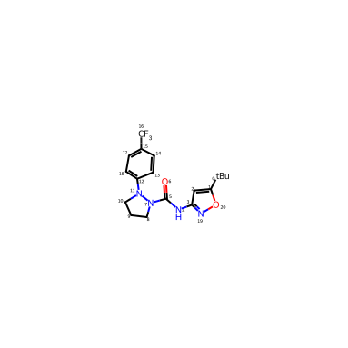 CC(C)(C)c1cc(NC(=O)N2CCCN2c2ccc(C(F)(F)F)cc2)no1